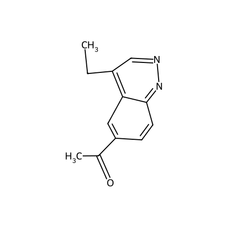 CCc1cnnc2ccc(C(C)=O)cc12